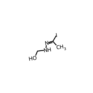 C/C(I)=N\NCO